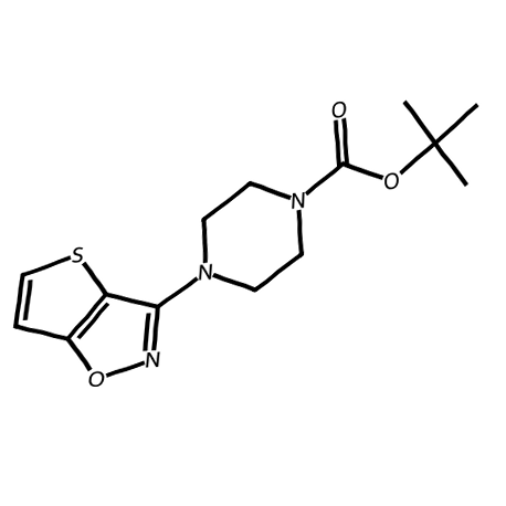 CC(C)(C)OC(=O)N1CCN(c2noc3ccsc23)CC1